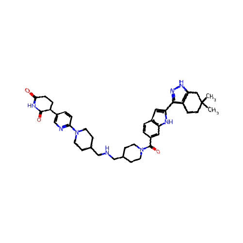 CC1(C)CCc2c(-c3cc4ccc(C(=O)N5CCC(CNCC6CCN(c7ccc(C8CCC(=O)NC8=O)cn7)CC6)CC5)cc4[nH]3)n[nH]c2C1